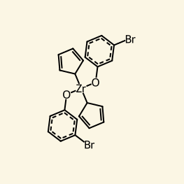 Brc1cccc([O][Zr]([O]c2cccc(Br)c2)([CH]2C=CC=C2)[CH]2C=CC=C2)c1